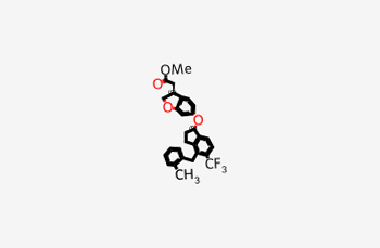 COC(=O)C[C@@H]1COc2cc(O[C@@H]3CCc4c3ccc(C(F)(F)F)c4Cc3ccccc3C)ccc21